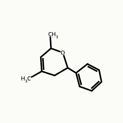 CC1=CC(C)OC(c2ccccc2)C1